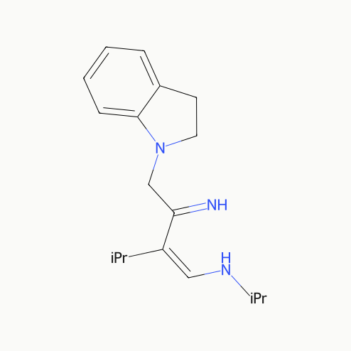 CC(C)N/C=C(\C(=N)CN1CCc2ccccc21)C(C)C